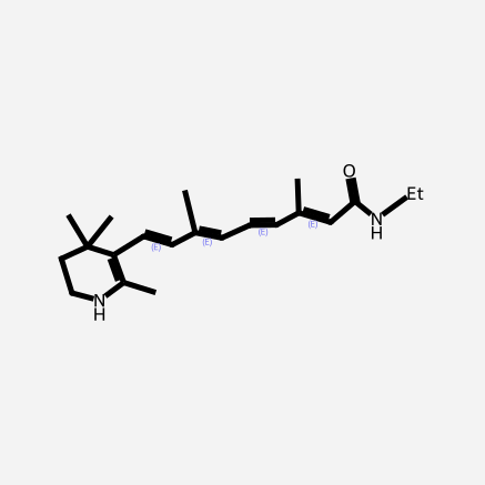 CCNC(=O)/C=C(C)/C=C/C=C(C)/C=C/C1=C(C)NCCC1(C)C